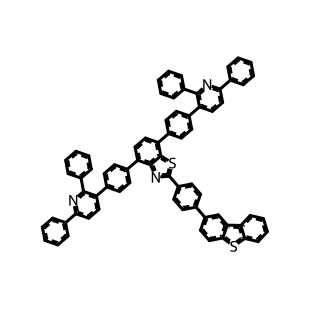 c1ccc(-c2ccc(-c3ccc(-c4ccc(-c5ccc(-c6ccc(-c7ccccc7)nc6-c6ccccc6)cc5)c5sc(-c6ccc(-c7ccc8sc9ccccc9c8c7)cc6)nc45)cc3)c(-c3ccccc3)n2)cc1